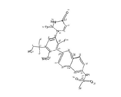 COc1c(C(C)(C)CO)cc(-n2ccc(=O)[nH]c2=O)c(F)c1-c1ccc2cc(NS(C)(=O)=O)ccc2c1